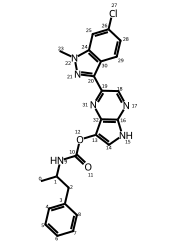 CC(Cc1ccccc1)NC(=O)Oc1c[nH]c2ncc(-c3nn(C)c4cc(Cl)ccc34)nc12